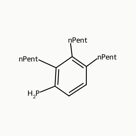 CCCCCc1ccc(P)c(CCCCC)c1CCCCC